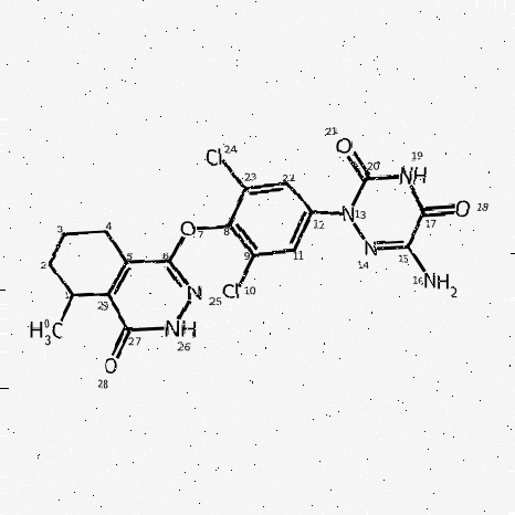 CC1CCCc2c(Oc3c(Cl)cc(-n4nc(N)c(=O)[nH]c4=O)cc3Cl)n[nH]c(=O)c21